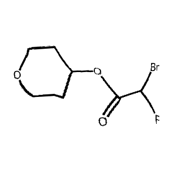 O=C(OC1CCOCC1)C(F)Br